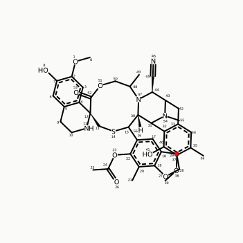 COc1cc2c(cc1O)CCN[C@]21CSC(c2cc3c(c(C)c2OC(C)=O)OCO3)[C@H]2C3c4c(cc(C)c(OC)c4O)CC([C@H](C#N)N2C(C)COC1=O)N3C